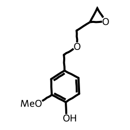 COc1cc(COCC2CO2)ccc1O